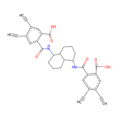 C#Cc1cc(C(=O)O)c(C(=O)NC2CCCC3C(NC(=O)c4cc(C#C)c(C#C)cc4C(=O)O)CCCC23)cc1C#C